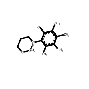 Cc1c(C)c(C)c([SiH]2CCCO[SiH2]2)c(Cl)c1C